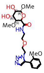 COc1ccccc1-c1cnnn1CCOCCNC(=O)C1O[C@@H](OC)[C@@H](O)[C@@H](O)[C@@H]1OC